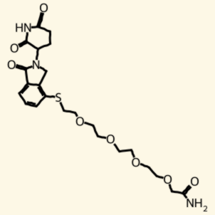 NC(=O)COCCOCCOCCOCCSc1cccc2c1CN(C1CCC(=O)NC1=O)C2=O